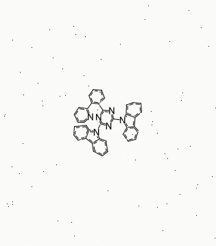 c1ccc(-c2ccccc2-c2nc(-n3c4ccccc4c4ccccc43)nc(-n3c4ccccc4c4ccccc43)n2)nc1